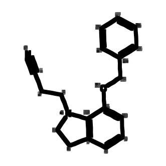 N#CCCN1CCc2cccc(OCc3ccccc3)c21